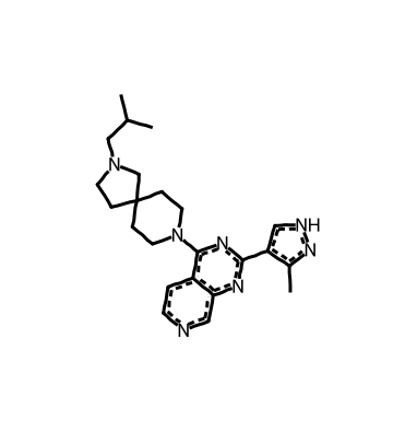 Cc1n[nH]cc1-c1nc(N2CCC3(CCN(CC(C)C)C3)CC2)c2ccncc2n1